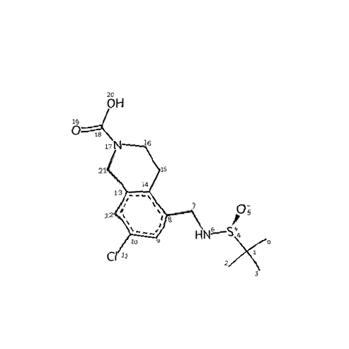 CC(C)(C)[S@+]([O-])NCc1cc(Cl)cc2c1CCN(C(=O)O)C2